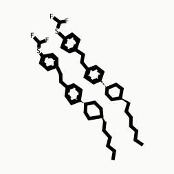 CCCCCCC[C@H]1CC[C@H](c2ccc(CCc3ccc(SC(F)F)cc3)cc2)CC1.CCCCCC[C@H]1CC[C@H](c2ccc(CCc3ccc(SC(F)F)cc3)cc2)CC1